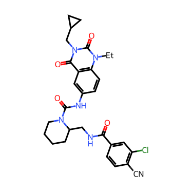 CCn1c(=O)n(CC2CC2)c(=O)c2cc(NC(=O)N3CCCCC3CNC(=O)c3ccc(C#N)c(Cl)c3)ccc21